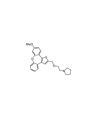 COc1ccc2c(c1)Oc1ccccc1-c1cc(COCCN3CCCC3)sc1-2